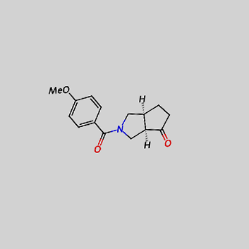 COc1ccc(C(=O)N2C[C@H]3CCC(=O)[C@H]3C2)cc1